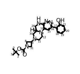 CC(C)(C)OC(=O)N1CC(N2CCN3c4cc(-c5ccccc5O)nnc4NC[C@H]3C2)C1